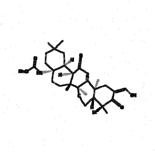 CC[C@]1(C)C(=O)/C(=C\O)C[C@]2(C)C3=CC(=O)[C@@H]4[C@@H]5CC(C)(C)CC[C@]5(NC(=O)OC)CC[C@@]4(C)[C@]3(C)CC[C@@H]12